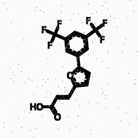 O=C(O)C=Cc1ccc(-c2cc(C(F)(F)F)cc(C(F)(F)F)c2)o1